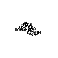 C[C@@H](OC(=O)O)n1nnnc1-c1c(-c2ccc(C(=O)N(c3ncccc3Cl)[C@@H]3CCCNC3)cc2F)cnn1C